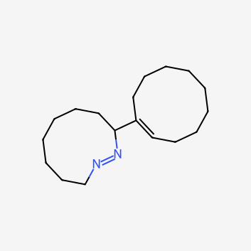 C1=C(/C2CCCCCCC/N=N/2)CCCCCCCC/1